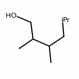 CC(C)CC(C)C(C)CO